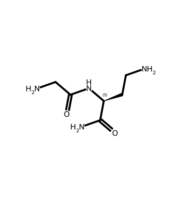 NCC[C@H](NC(=O)CN)C(N)=O